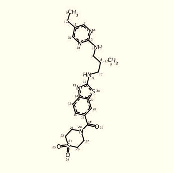 CSc1cnc(NC[C@H](C)CNc2nc3ccc(C(=O)N4CCS(=O)(=O)CC4)cc3s2)nc1